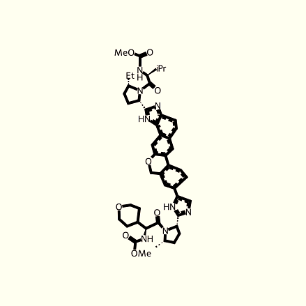 CC[C@H]1CC[C@@H](c2nc3ccc4cc5c(cc4c3[nH]2)OCc2cc(-c3cnc([C@@H]4CC[C@H](C)N4C(=O)[C@@H](NC(=O)OC)C4CCOCC4)[nH]3)ccc2-5)N1C(=O)[C@@H](NC(=O)OC)C(C)C